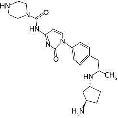 CC(Cc1ccc(-n2ccc(NC(=O)N3CCNCC3)nc2=O)cc1)N[C@@H]1CC[C@@H](N)C1